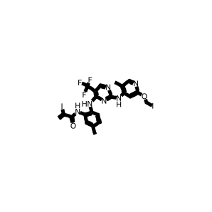 C=C(I)C(=O)Nc1cc(C)ccc1Nc1nc(Nc2cc(OCI)ncc2C)ncc1C(F)(F)F